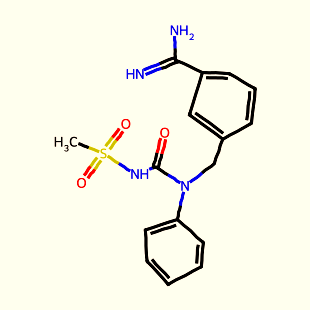 CS(=O)(=O)NC(=O)N(Cc1cccc(C(=N)N)c1)c1ccccc1